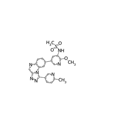 COc1ncc(-c2ccc3ncc4nnc(-c5ccc(C)nc5)n4c3c2)cc1NS(C)(=O)=O